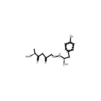 CN[C@@H](C)C(=O)CC(=O)CNN[C@H](C=O)Cc1ccc(O)cc1